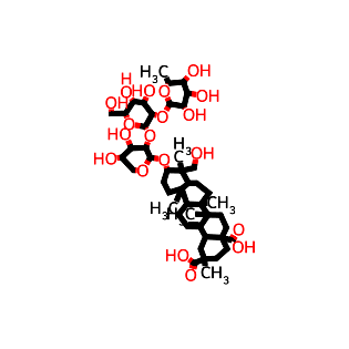 CC1OC(OC2C(OC3C(OC4CCC5(C)C(CCC6(C)C5CC=C5C7CC(C)(C(=O)O)CCC7(C(=O)O)CCC56C)C4(C)CO)OCC(O)C3O)OC(CO)C(O)C2O)C(O)C(O)C1O